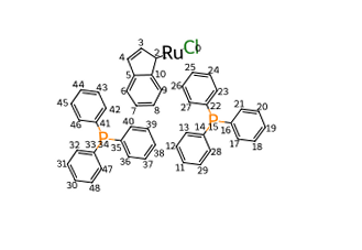 [Cl][Ru][CH]1C=Cc2ccccc21.c1ccc(P(c2ccccc2)c2ccccc2)cc1.c1ccc(P(c2ccccc2)c2ccccc2)cc1